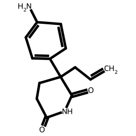 C=CCC1(c2ccc(N)cc2)CCC(=O)NC1=O